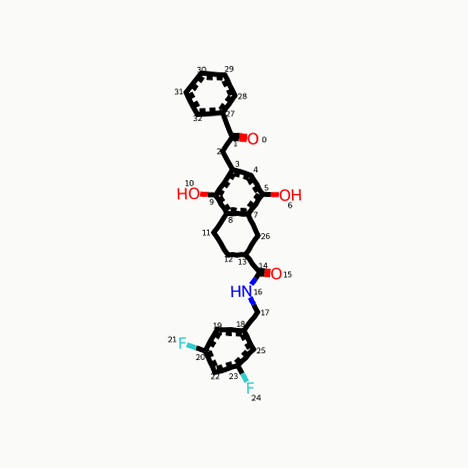 O=C(Cc1cc(O)c2c(c1O)CCC(C(=O)NCc1cc(F)cc(F)c1)C2)c1ccccc1